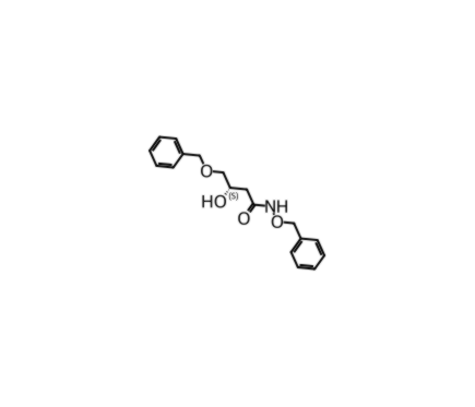 O=C(C[C@H](O)COCc1ccccc1)NOCc1ccccc1